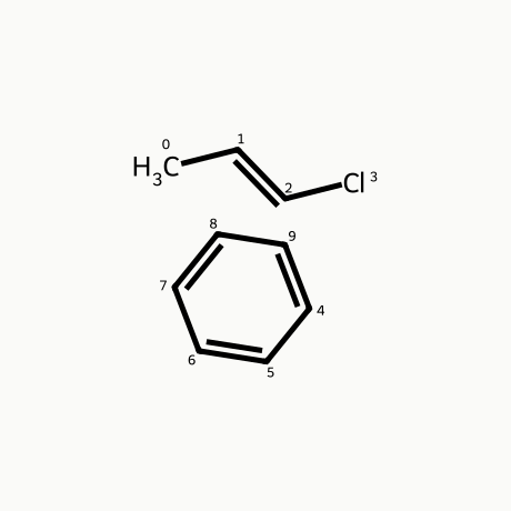 CC=CCl.c1ccccc1